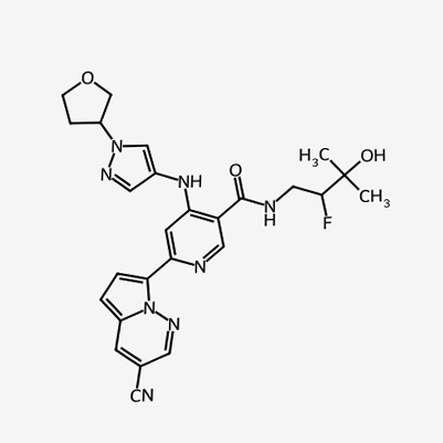 CC(C)(O)C(F)CNC(=O)c1cnc(-c2ccc3cc(C#N)cnn23)cc1Nc1cnn(C2CCOC2)c1